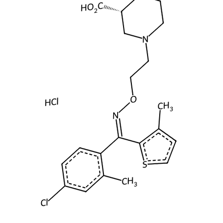 Cc1cc(Cl)ccc1/C(=N/OCCN1CCC[C@@H](C(=O)O)C1)c1sccc1C.Cl